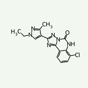 CCn1cc(-c2nc3c4cccc(Cl)c4[nH]c(=O)n3n2)c(C)n1